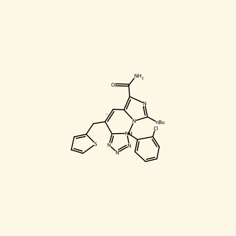 CCCCc1nc(C(N)=O)c(/C=C(/Cc2cccs2)c2nnn[nH]2)n1Cc1ccccc1Cl